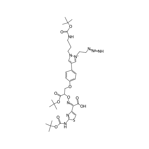 CC(C)(C)OC(=O)NCCCn1cc(-c2ccc(OCC(ON=C(C(=O)O)c3csc(NC(=O)OC(C)(C)C)n3)C(=O)OC(C)(C)C)cc2)c[n+]1CCN=[N+]=N